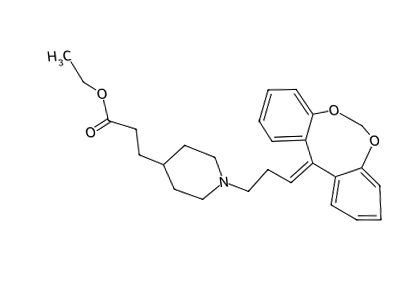 CCOC(=O)CCC1CCN(CCC=C2c3ccccc3OCOc3ccccc32)CC1